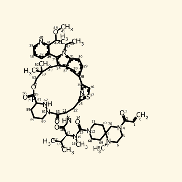 C=CC(=O)N1CCN(C)C2(CCN(C(=O)N(C)[C@H](C(=O)N[C@H]3Cc4nc(cs4)-c4ccc5c(c4)c(c(-c4cccnc4[C@H](C)OC)n5CC)CC(C)(C)COC(=O)[C@@H]4CCCN(N4)C3=O)C(C)C)CC2)C1